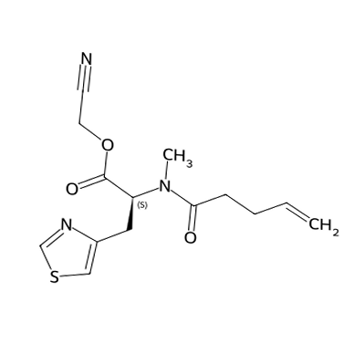 C=CCCC(=O)N(C)[C@@H](Cc1cscn1)C(=O)OCC#N